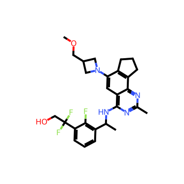 COCC1CN(c2cc3c(NC(C)c4cccc(C(F)(F)CO)c4F)nc(C)nc3c3c2CCC3)C1